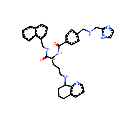 O=C(N[C@@H](CCCNC1CCCc2cccnc21)C(=O)NCc1cccc2ccccc12)c1ccc(CNCc2ncc[nH]2)cc1